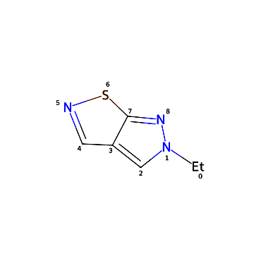 CCn1cc2cnsc2n1